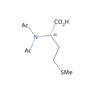 CSCC[C@@H](C(=O)O)N(C(C)=O)C(C)=O